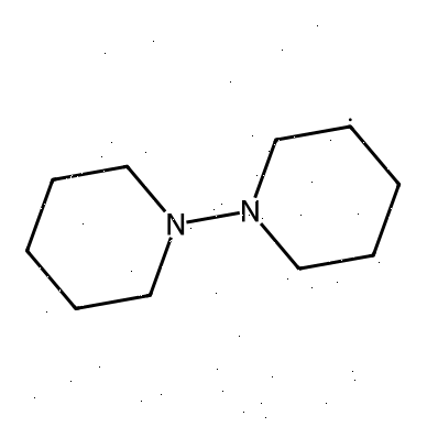 [CH]1CCCN(N2CCCCC2)C1